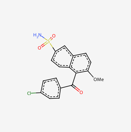 COc1ccc2cc(S(N)(=O)=O)ccc2c1C(=O)c1ccc(Cl)cc1